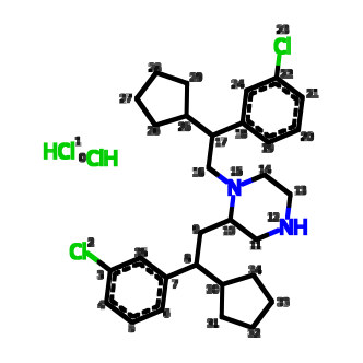 Cl.Cl.Clc1cccc(C(CC2CNCCN2CC(c2cccc(Cl)c2)C2CCCC2)C2CCCC2)c1